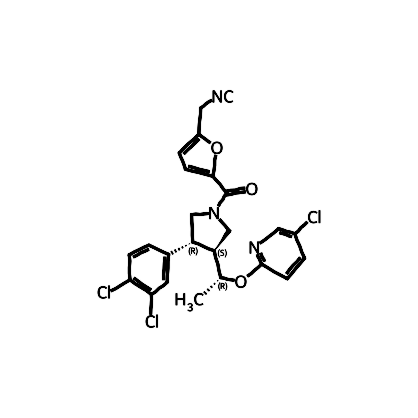 [C-]#[N+]Cc1ccc(C(=O)N2C[C@@H]([C@@H](C)Oc3ccc(Cl)cn3)[C@H](c3ccc(Cl)c(Cl)c3)C2)o1